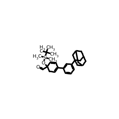 CC(C)(C)[Si](C)(C)OC1(C=O)C=CC(c2cccc(C34CC5CC(CC(C5)C3)C4)c2)=CC1